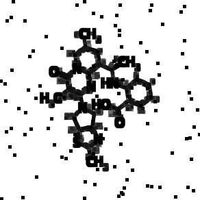 Cc1cc([C@@H](C)Nc2ccccc2C(=O)O)c2nc(N3Cc4nc(C)sc4C3)c(C)c(=O)n2c1